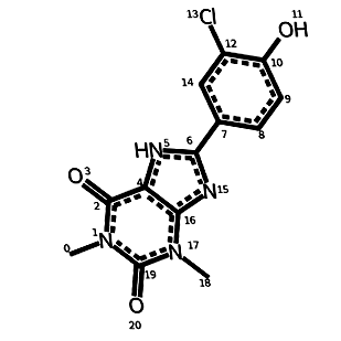 Cn1c(=O)c2[nH]c(-c3ccc(O)c(Cl)c3)nc2n(C)c1=O